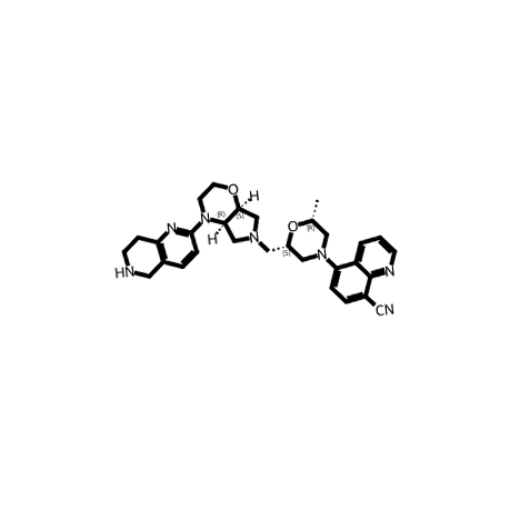 C[C@@H]1CN(c2ccc(C#N)c3ncccc23)C[C@H](CN2C[C@@H]3OCCN(c4ccc5c(n4)CCNC5)[C@@H]3C2)O1